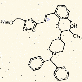 COCc1cc(/C=C/c2cccc(F)c2OC(C(C)O)N2CCN(C(c3ccccc3)c3ccccc3)CC2)on1